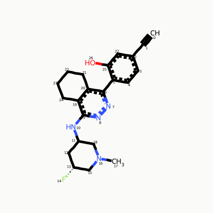 C#Cc1ccc(-c2nnc(NC3C[C@@H](F)CN(C)C3)c3c2CCCC3)c(O)c1